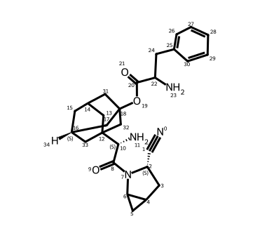 N#C[C@@H]1CC2CC2N1C(=O)[C@@H](N)C12CC3C[C@H](CC(OC(=O)C(N)Cc4ccccc4)(C3)C1)C2